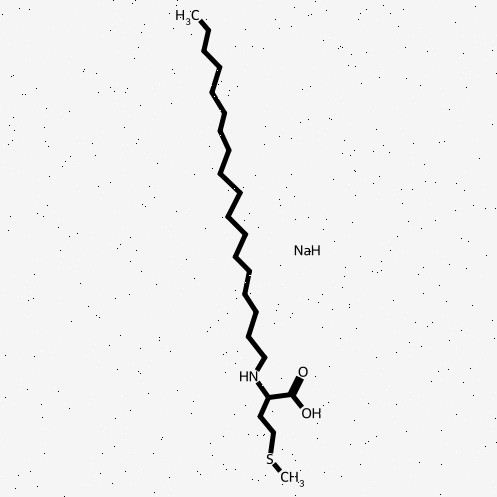 CCCCCCCCCCCCCCCCCCNC(CCSC)C(=O)O.[NaH]